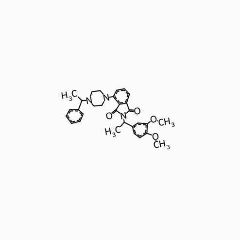 COc1ccc(C(C)N2C(=O)c3cccc(N4CCN(C(C)c5ccccc5)CC4)c3C2=O)cc1OC